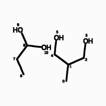 CC(CO)CO.CCC(O)O